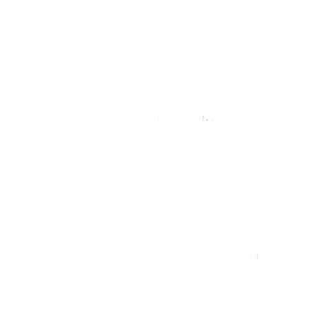 CCCCCCCCC(CCCCCCC)S(=O)(=O)[O-].[Na+]